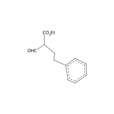 CCOC(=O)C(C=O)CCc1ccccc1